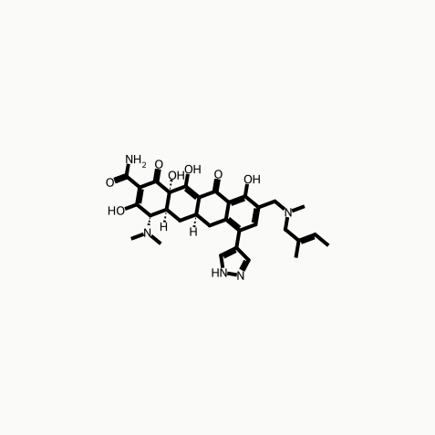 C/C=C(\C)CN(C)Cc1cc(-c2cn[nH]c2)c2c(c1O)C(=O)C1=C(O)[C@]3(O)C(=O)C(C(N)=O)=C(O)[C@@H](N(C)C)[C@@H]3C[C@@H]1C2